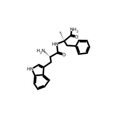 C[C@](Cc1ccccc1)(NC(=O)[C@@H](N)Cc1c[nH]c2ccccc12)C(N)=O